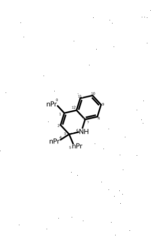 CCCC1=CC(CCC)(CCC)Nc2ccccc21